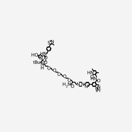 Cc1cc(C)c(CNC(=O)c2cc(-c3ccc(N4CCN(CCC(COCCOCCOCCOCCOCCC(=O)N[C@H](C(=O)N5C[C@H](O)C[C@H]5C(=O)NCc5ccc(-c6scnc6C)cc5)C(C)(C)C)C(N)=O)CC4)nc3)cc3c2cnn3C(C)C)c(=O)[nH]1